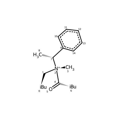 CC[C@H](C)C[N@@+](C)(C(=O)[C@@H](C)CC)[C@H](C)c1ccccc1